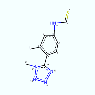 Cc1cc(NC=S)ccc1-c1nnnn1C